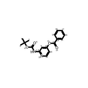 CC(C)(C)OC(=O)Nc1cc(OC(=O)c2ccccc2)ccn1